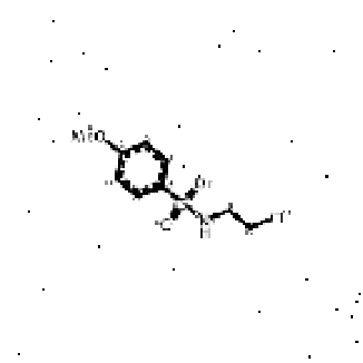 COc1ccc(S(=O)(=O)NCCCl)cc1